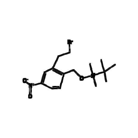 CC(C)(C)[Si](C)(C)OCc1ccc([N+](=O)[O-])cc1CCBr